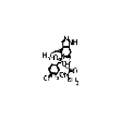 CC[C@H]1c2cn[nH]c2C[C@H](COC(=O)N(C)C)N1S(=O)(=O)c1ccc(Cl)cc1